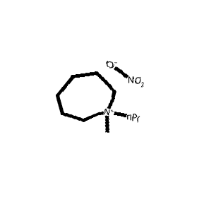 CCC[N+]1(C)CCCCCC1.O=[N+]([O-])[O-]